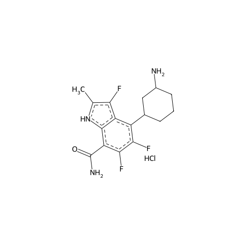 Cc1[nH]c2c(C(N)=O)c(F)c(F)c(C3CCCC(N)C3)c2c1F.Cl